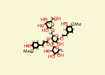 COc1ccc(CCO[C@@H]2O[C@H](CO[C@@H]3O[C@H](CO)[C@H](O)[C@H](O)[C@H]3O)[C@@H](OC(=O)/C=C/c3ccc(O)c(OC)c3)[C@H](O[C@@H]3O[C@@H](C)[C@H](O)[C@@H](O)[C@H]3O)[C@H]2O)cc1O